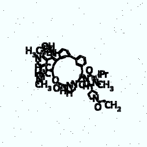 C=CC(=O)N1CCC(C(=O)N(C)[C@H](C(=O)N[C@H]2Cc3cccc(c3)-c3ccc4c(c3)c(c(-c3cc(C5CN(C)C5)cnc3[C@@](C)(O)CC)n4CC)CC(C)(C)COC(=O)[C@@H]3CCCN(N3)C2=O)C(C)C)C1